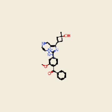 COc1cc(C2=NC(C3CC(C)(O)C3)=C3C=NC=C[N+]23N)ccc1C(=O)c1ccccc1